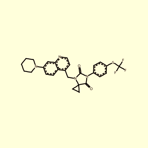 O=C1N(c2ccc(SC(F)(F)F)cc2)C(=O)C2(CC2)N1Cc1ccnc2cc(N3CCCCC3)ccc12